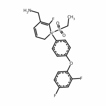 CCS(=O)(=O)[N+]1(c2ccc(Oc3ccc(F)cc3F)cc2)CC=CC(CN)=C1F